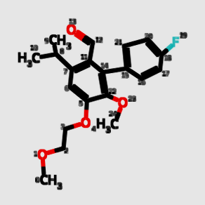 COCCOc1cc(C(C)C)c(C=O)c(-c2ccc(F)cc2)c1OC